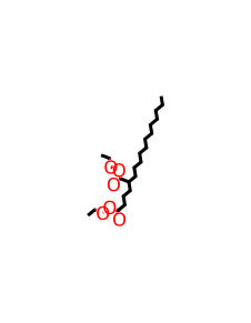 CCCCCCCCCCCCC(CCCC(=O)OOCC)C(=O)OOCC